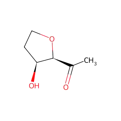 CC(=O)[C@@H]1OCC[C@@H]1O